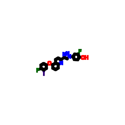 Oc1ccc(-n2cc(-c3ccc4c(Oc5ccc(F)c(I)c5)cccc4n3)nn2)cc1F